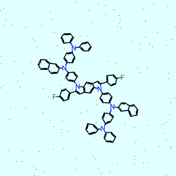 Fc1ccc(-c2cc3cc4c(cc(-c5ccc(F)cc5)n4-c4ccc(N(c5ccc(N(c6ccccc6)c6ccccc6)cc5)c5ccc6ccccc6c5)cc4)cc3n2-c2ccc(N(c3ccc(N(c4ccccc4)c4ccccc4)cc3)c3ccc4ccccc4c3)cc2)cc1